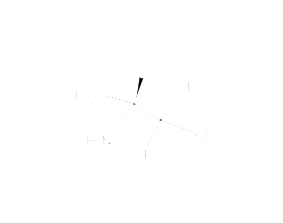 [2H]C([2H])(O)[C@]([2H])(N)C(=O)O